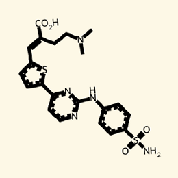 CN(C)CCC(=Cc1ccc(-c2ccnc(Nc3ccc(S(N)(=O)=O)cc3)n2)s1)C(=O)O